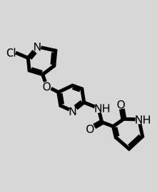 O=C(Nc1ccc(Oc2ccnc(Cl)c2)cn1)c1ccc[nH]c1=O